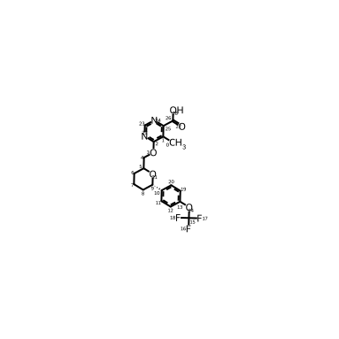 Cc1c(OCC2CCC[C@@H](c3ccc(OC(F)(F)F)cc3)O2)ncnc1C(=O)O